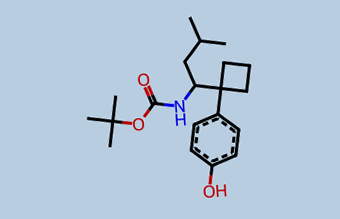 CC(C)CC(NC(=O)OC(C)(C)C)C1(c2ccc(O)cc2)CCC1